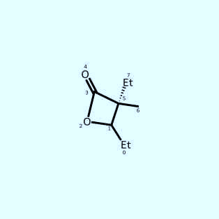 CCC1OC(=O)[C@]1(C)CC